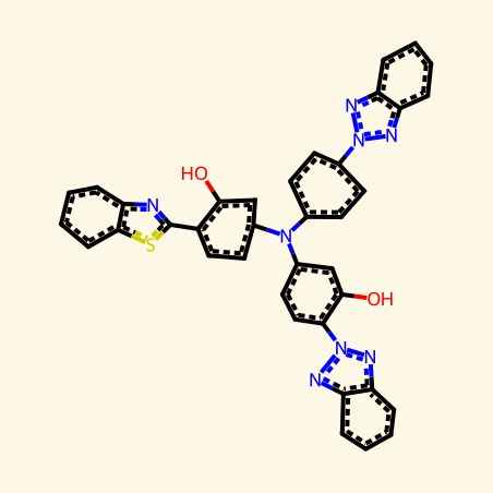 Oc1cc(N(c2ccc(-n3nc4ccccc4n3)cc2)c2ccc(-n3nc4ccccc4n3)c(O)c2)ccc1-c1nc2ccccc2s1